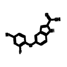 O=C(O)c1cc2cc(Oc3ccc(Br)cc3F)ccc2[nH]1